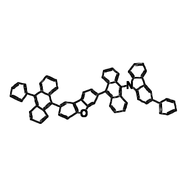 c1ccc(-c2ccc3c(c2)c2ccccc2n3-c2c3ccccc3c(-c3ccc4c(c3)oc3ccc(-c5c6ccccc6c(-c6ccccc6)c6ccccc56)cc34)c3ccccc23)cc1